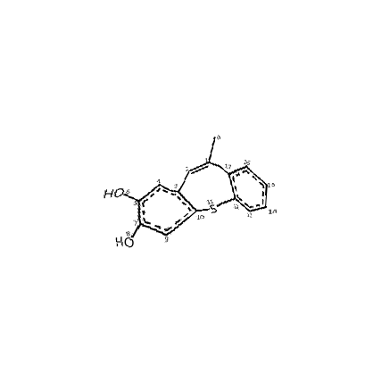 CC1=Cc2cc(O)c(O)cc2Sc2ccccc21